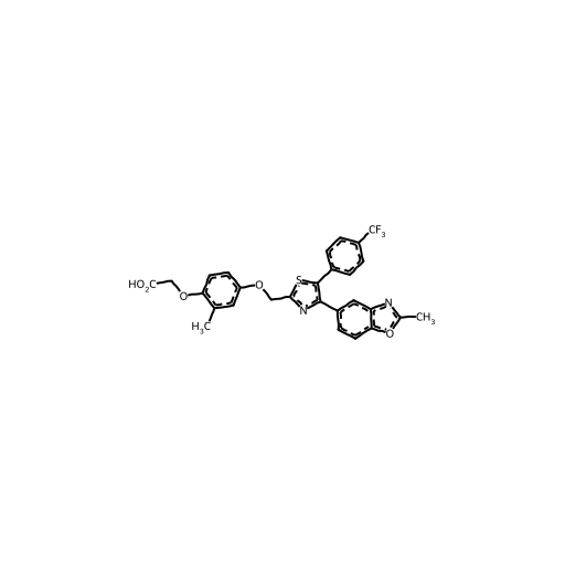 Cc1nc2cc(-c3nc(COc4ccc(OCC(=O)O)c(C)c4)sc3-c3ccc(C(F)(F)F)cc3)ccc2o1